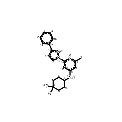 Cc1cc(NC2CCC(F)(F)CC2)nc(-n2ccc(-c3ccccc3)n2)n1